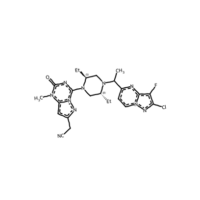 CC[C@H]1CN(C(C)c2ccn3nc(Cl)c(F)c3n2)[C@H](CC)CN1c1nc(=O)n(C)c2cc(CC#N)nn12